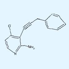 Nc1nccc(Cl)c1C#CCc1ccccc1